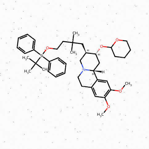 COc1cc2c(cc1OC)[C@H]1C[C@@H](OC3CCCCO3)[C@H](CC(C)(C)CCO[Si](c3ccccc3)(c3ccccc3)C(C)(C)C)CN1CC2